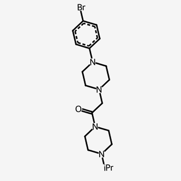 CC(C)N1CCN(C(=O)CN2CCN(c3ccc(Br)cc3)CC2)CC1